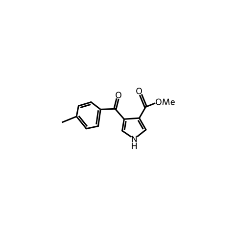 COC(=O)c1c[nH]cc1C(=O)c1ccc(C)cc1